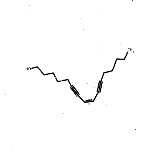 CCCCCC#C/C=C\C#CCCCCCO